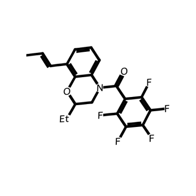 CC=Cc1cccc2c1OC(CC)CN2C(=O)c1c(F)c(F)c(F)c(F)c1F